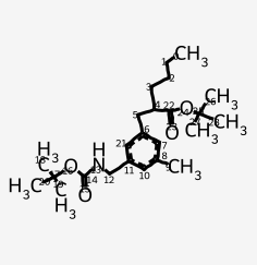 CCCCC(Cc1cc(C)cc(CNC(=O)OC(C)(C)C)c1)C(=O)OC(C)(C)C